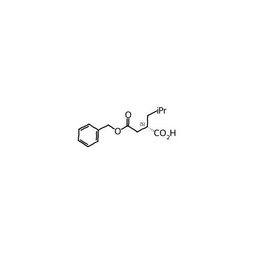 CC(C)C[C@@H](CC(=O)OCc1ccccc1)C(=O)O